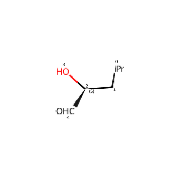 CC(C)C[C@H](O)[C]=O